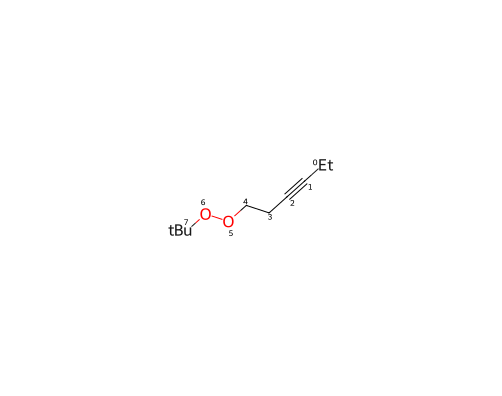 CCC#CCCOOC(C)(C)C